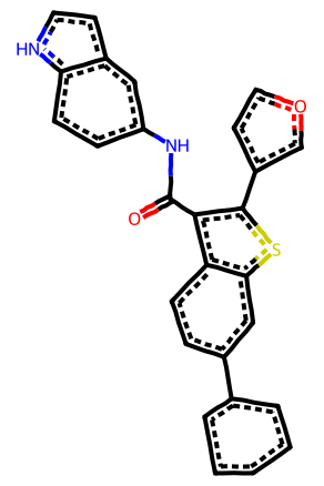 O=C(Nc1ccc2[nH]ccc2c1)c1c(-c2ccoc2)sc2cc(-c3ccccc3)ccc12